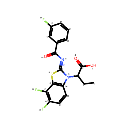 CCC(C(=O)O)n1/c(=N/C(=O)c2cccc(F)c2)sc2c(F)c(F)ccc21